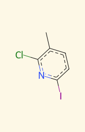 Cc1ccc(I)nc1Cl